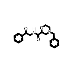 O=C(CNC(=O)C1CN(Cc2ccccc2)CCO1)c1ccccc1